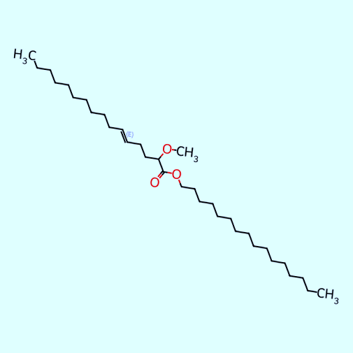 CCCCCCCCCC/C=C/CCC(OC)C(=O)OCCCCCCCCCCCCCCCC